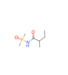 CCC(C)C(=O)NP(C)(C)=O